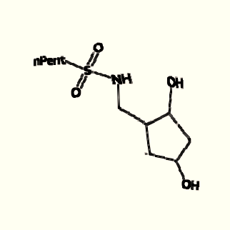 CCCCCS(=O)(=O)NCC1[CH]C(O)CC1O